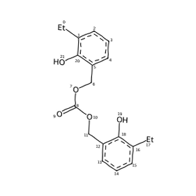 CCc1cccc(COC(=O)OCc2cccc(CC)c2O)c1O